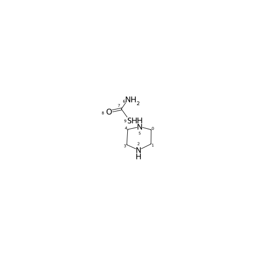 C1CNCCN1.NC(=O)S